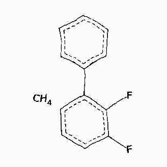 C.Fc1cccc(-c2ccccc2)c1F